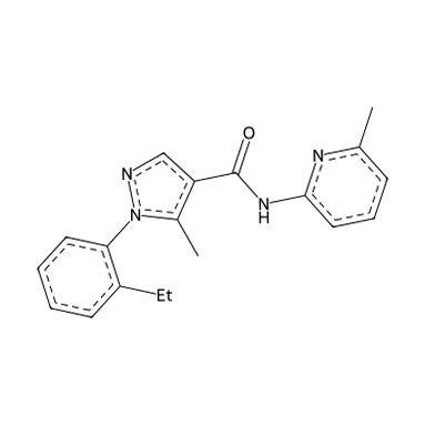 CCc1ccccc1-n1ncc(C(=O)Nc2cccc(C)n2)c1C